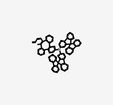 C=C/C=C\C1=C(/C)c2ccccc2-c2ccc(N(c3ccc4c(c3)C3(c5ccccc5-c5ccccc53)c3ccccc3-4)c3ccc4c(c3)C3(c5ccccc5-c5ccccc53)c3ccccc3-4)cc2-c2ccccc21